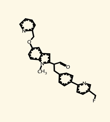 Cn1c(C(C=O)Cc2ccc(-c3ccc(CF)cn3)cc2)cc2cc(OCc3ccccn3)ccc21